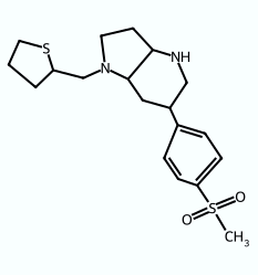 CS(=O)(=O)c1ccc(C2CNC3CCN(CC4CCCS4)C3C2)cc1